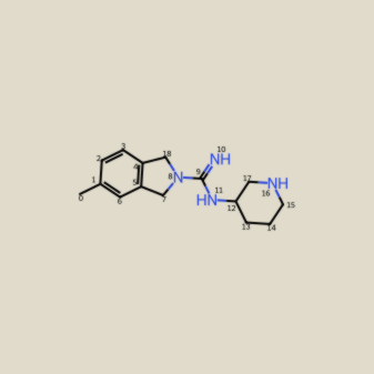 Cc1ccc2c(c1)CN(C(=N)NC1CCCNC1)C2